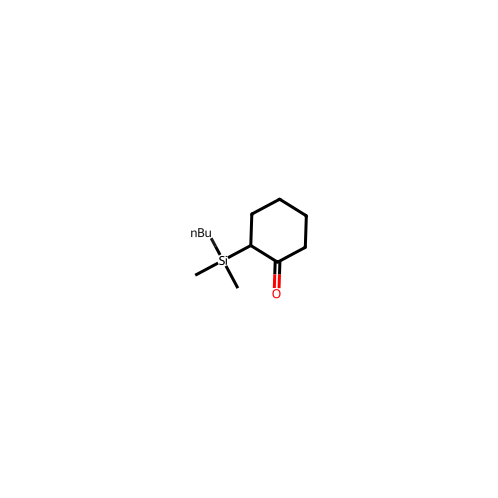 CCCC[Si](C)(C)C1CCCCC1=O